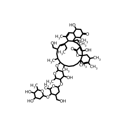 CC/C1=C\C(CO)CC(C)C(OC2CC(O)C(OC3CC(CO)C(OC4CC(O)C(O)C(C)O4)C(C)O3)C(C)O2)C(C)CCCC2(C)C=C(C)C(C)CC23OC(=O)C(=C3O)C(=O)C2(CC)C1C(C)=CC1C(O)CC(=O)C(C)C12